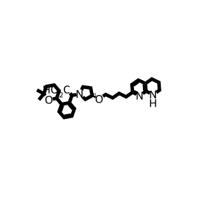 CC1(C)CCCC(c2ccccc2C(C(=O)O)N2CC[C@@H](OCCCCc3ccc4c(n3)NCCC4)C2)O1